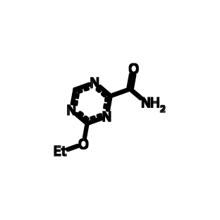 CCOc1ncnc(C(N)=O)n1